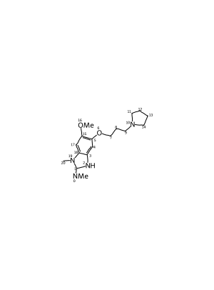 CNC1Nc2cc(OCCCN3CCCC3)c(OC)cc2N1C